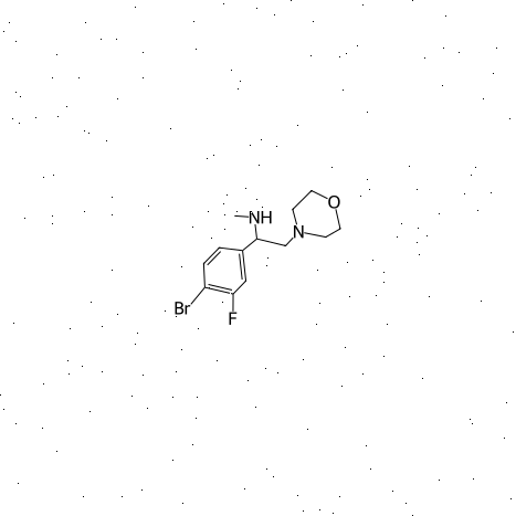 CNC(CN1CCOCC1)c1ccc(Br)c(F)c1